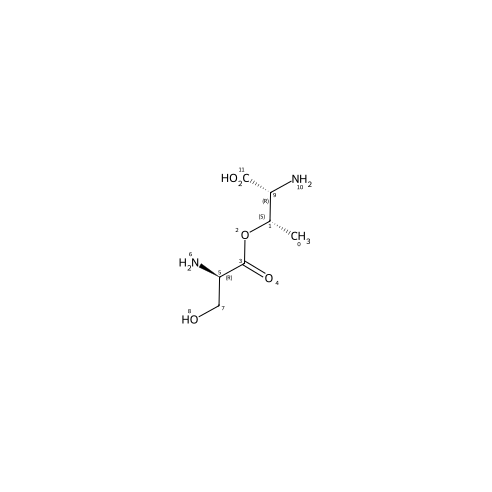 C[C@H](OC(=O)[C@H](N)CO)[C@@H](N)C(=O)O